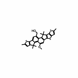 COc1cc2c(c3c(CO)cc4c(c13)C(C)(C)c1cc(C)sc1-4)C(C)(C)c1c-2sc2cc(C)sc12